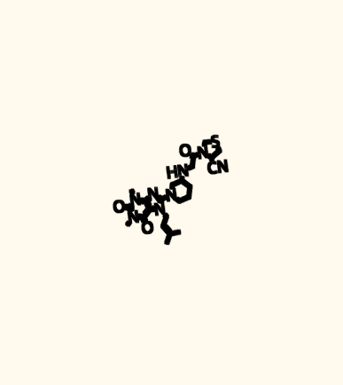 CC(C)=CCn1c(N2CCCC(NCC(=O)N3CSCC3C#N)C2)nc2c1c(=O)n(C)c(=O)n2C